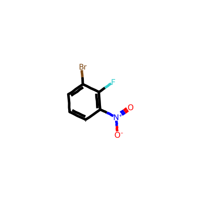 O=[N+]([O-])c1[c]ccc(Br)c1F